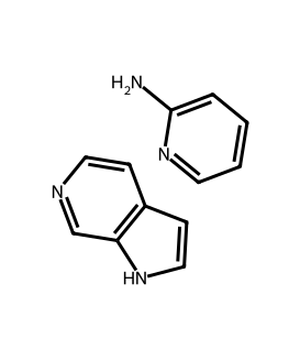 Nc1ccccn1.c1cc2cc[nH]c2cn1